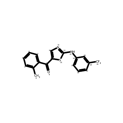 Cc1ccccc1C(=O)c1cnc(Nc2cccc(C(F)(F)F)c2)s1